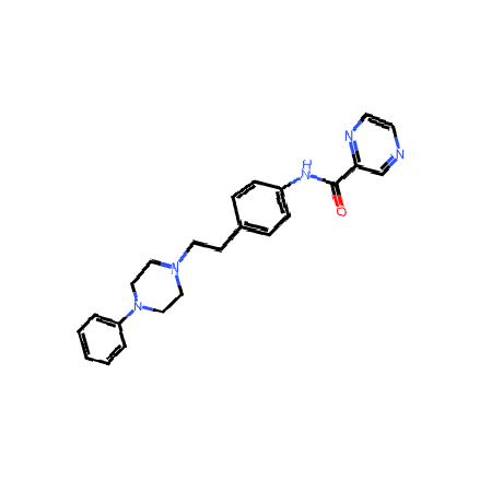 O=C(Nc1ccc(CCN2CCN(c3ccccc3)CC2)cc1)c1cnccn1